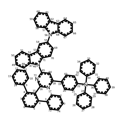 c1ccc(-c2cccc(-c3ccccc3)c2-c2nc(-c3ccc([Si](c4ccccc4)(c4ccccc4)c4ccccc4)cc3)cc(-n3c4ccccc4c4cc(-n5c6ccccc6c6ccccc65)ccc43)n2)cc1